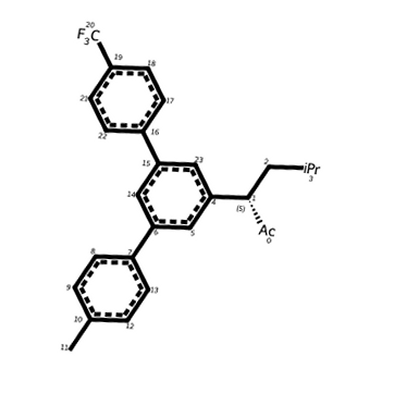 CC(=O)[C@@H](CC(C)C)c1cc(-c2ccc(C)cc2)cc(-c2ccc(C(F)(F)F)cc2)c1